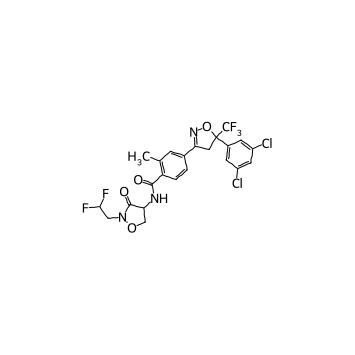 Cc1cc(C2=NOC(c3cc(Cl)cc(Cl)c3)(C(F)(F)F)C2)ccc1C(=O)NC1CON(CC(F)F)C1=O